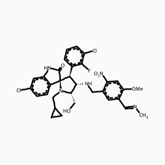 C/N=C/c1cc(CN[C@@H]2[C@H](CO)N(CC3CC3)[C@@]3(C(=O)Nc4cc(Cl)ccc43)[C@H]2c2cccc(Cl)c2F)c([N+](=O)[O-])cc1OC